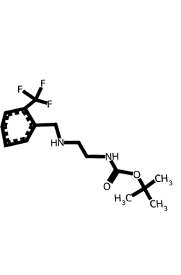 CC(C)(C)OC(=O)NCCNCc1ccccc1C(F)(F)F